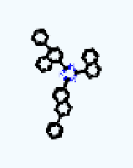 c1ccc(-c2ccc3cc(-c4nc(-c5cccc6ccccc56)nc(-c5ccc(-c6ccccc6)c6ccccc56)n4)ccc3c2)cc1